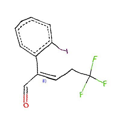 O=C/C(=C/CC(F)(F)F)c1ccccc1I